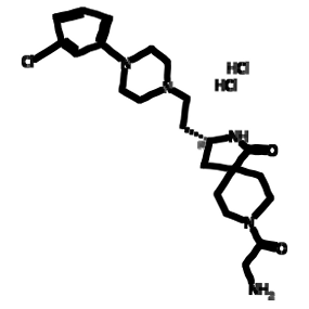 Cl.Cl.NCC(=O)N1CCC2(CC1)C[C@H](CCN1CCN(c3cccc(Cl)c3)CC1)NC2=O